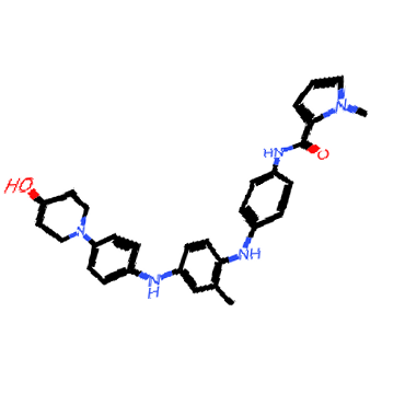 Cc1cc(Nc2ccc(N3CCC(O)CC3)cc2)ccc1Nc1ccc(NC(=O)c2cccn2C)cc1